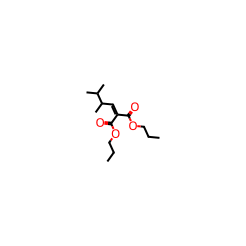 CCCOC(=O)C(=CC(C)C(C)C)C(=O)OCCC